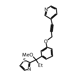 CCC(OC)(c1cccc(OCC#Cc2cccnc2)c1)c1nccs1